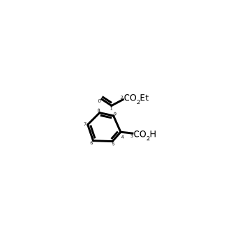 C=CC(=O)OCC.O=C(O)c1ccccc1